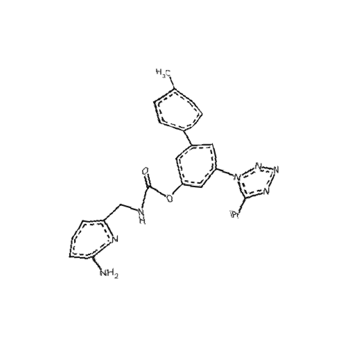 Cc1ccc(-c2cc(OC(=O)NCc3cccc(N)n3)cc(-n3nnnc3C(C)C)c2)cc1